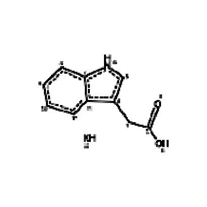 O=C(O)Cc1c[nH]c2ccccc12.[KH]